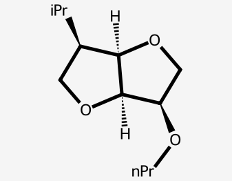 CCCO[C@@H]1CO[C@H]2[C@@H]1OC[C@H]2C(C)C